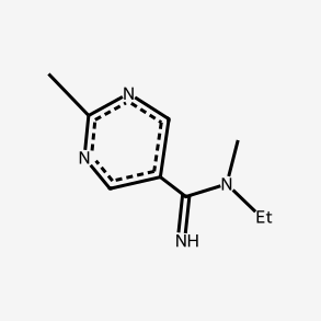 CCN(C)C(=N)c1cnc(C)nc1